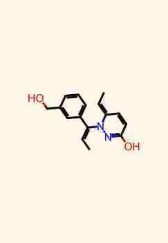 CC=C1C=CC(O)=NN1/C(=C\C)c1cccc(CO)c1